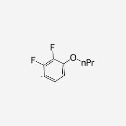 CCCOc1cc[c]c(F)c1F